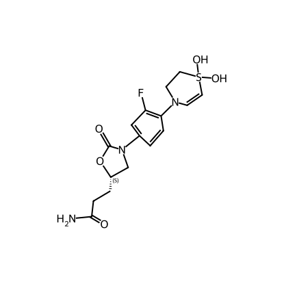 NC(=O)CC[C@H]1CN(c2ccc(N3C=CS(O)(O)CC3)c(F)c2)C(=O)O1